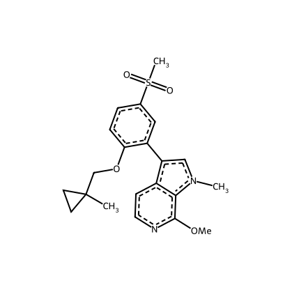 COc1nccc2c(-c3cc(S(C)(=O)=O)ccc3OCC3(C)CC3)cn(C)c12